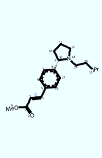 COC(=O)/C=C/c1ccc([C@@H]2CCCN2CCC(C)C)cc1